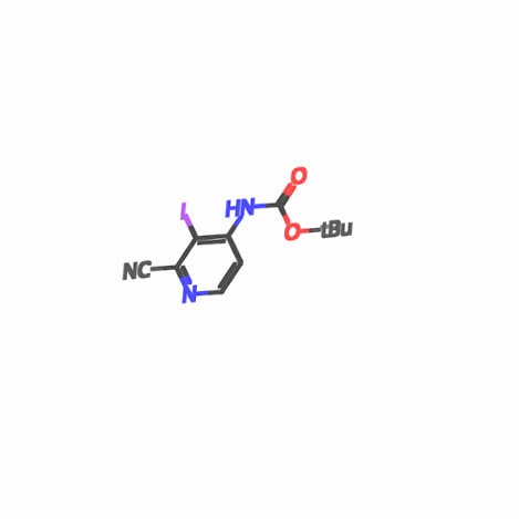 CC(C)(C)OC(=O)Nc1ccnc(C#N)c1I